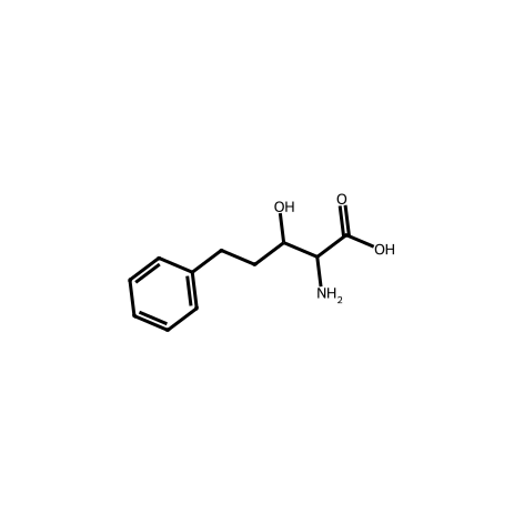 NC(C(=O)O)C(O)CCc1ccccc1